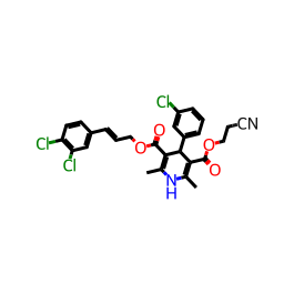 CC1=C(C(=O)OCC=Cc2ccc(Cl)c(Cl)c2)C(c2cccc(Cl)c2)C(C(=O)OCCC#N)=C(C)N1